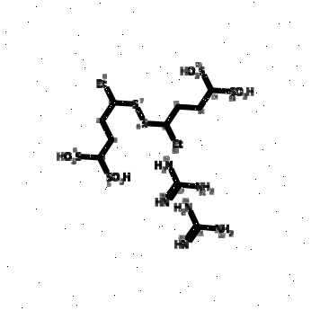 CCC(CCC(S(=O)(=O)O)S(=O)(=O)O)SSC(CC)CCC(S(=O)(=O)O)S(=O)(=O)O.N=C(N)N.N=C(N)N